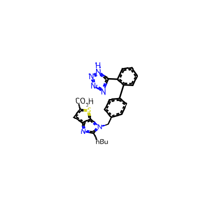 CCCCc1nc2cc(C(=O)O)sc2n1Cc1ccc(-c2ccccc2-c2nnn[nH]2)cc1